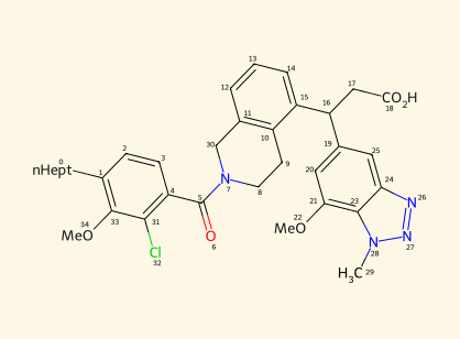 CCCCCCCc1ccc(C(=O)N2CCc3c(cccc3C(CC(=O)O)c3cc(OC)c4c(c3)nnn4C)C2)c(Cl)c1OC